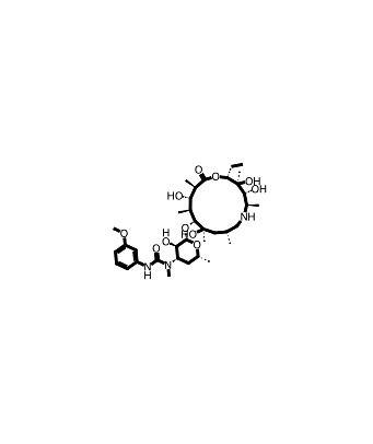 CC[C@H]1OC(=O)[C@H](C)[C@@H](O)[C@H](C)[C@@H](O[C@@H]2O[C@H](C)C[C@H](N(C)C(=O)Nc3cccc(OC)c3)[C@H]2O)[C@](C)(O)C[C@@H](C)CN[C@H](C)[C@@H](O)[C@]1(C)O